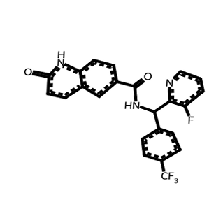 O=C(NC(c1ccc(C(F)(F)F)cc1)c1ncccc1F)c1ccc2[nH]c(=O)ccc2c1